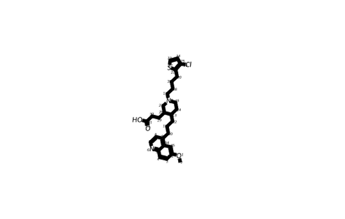 COc1ccc2nccc(CCCC3CCN(CCCCc4sccc4Cl)CC3CCC(=O)O)c2c1